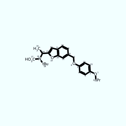 CCCOc1ccc(OCc2ccc3cc(C(C)N(C(=O)O)C(C)(C)C)oc3c2)cc1